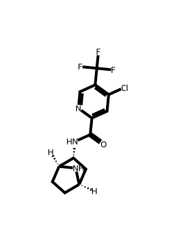 O=C(N[C@@H]1C[C@H]2CC[C@@H]1N2)c1cc(Cl)c(C(F)(F)F)cn1